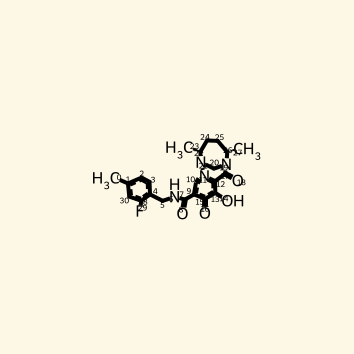 Cc1ccc(CNC(=O)c2cn3c(c(O)c2=O)C(=O)N2CN3[C@@H](C)CC[C@@H]2C)c(F)c1